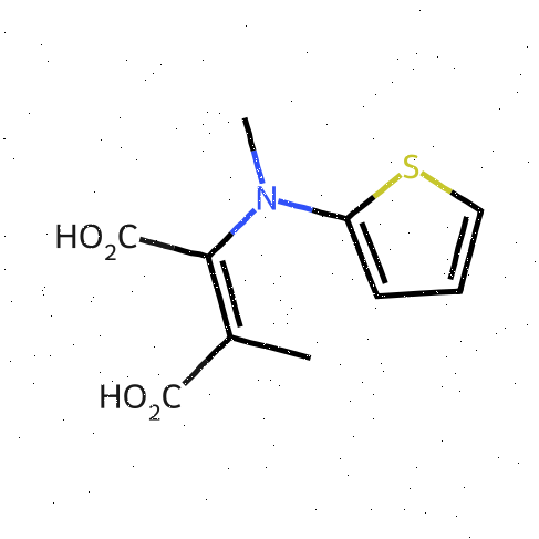 CC(C(=O)O)=C(C(=O)O)N(C)c1cccs1